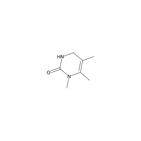 CC1=C(C)N(C)C(=O)NC1